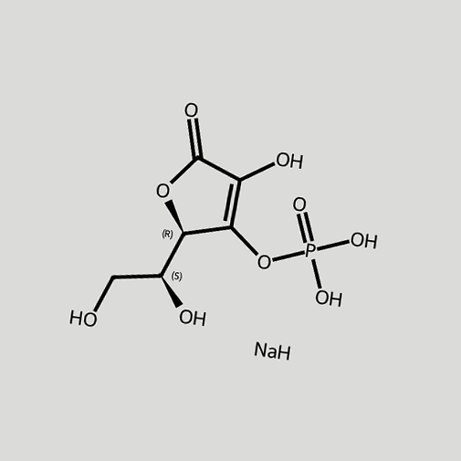 O=C1O[C@H]([C@@H](O)CO)C(OP(=O)(O)O)=C1O.[NaH]